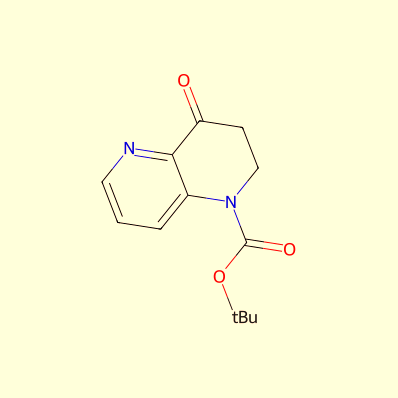 CC(C)(C)OC(=O)N1CCC(=O)c2ncccc21